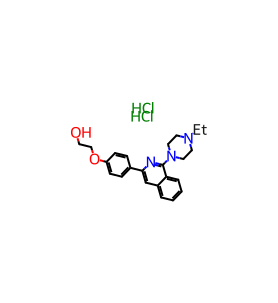 CCN1CCN(c2nc(-c3ccc(OCCO)cc3)cc3ccccc23)CC1.Cl.Cl